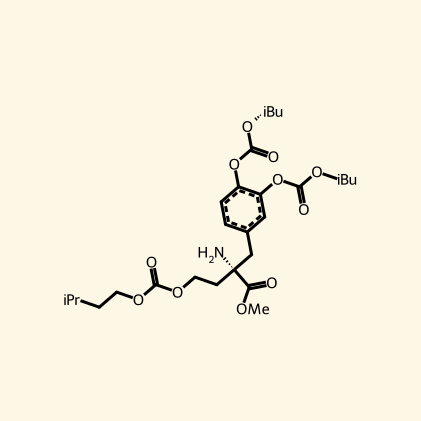 CCC(C)OC(=O)Oc1cc(C[C@](N)(CCOC(=O)OCCC(C)C)C(=O)OC)ccc1OC(=O)O[C@@H](C)CC